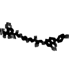 COc1ccc(NC(=O)COCCOCCNC(=O)COc2cc(O)c3c(c2)CC=C(c2ccc(O)cc2)C3=O)c(O)c1C(N)=O